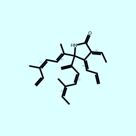 C=C/C=C1\C(=C/C)C(=O)NC1(C(=C)/C=C\C(C)=C/C)/C(C)=C/C=C(/C)C=C